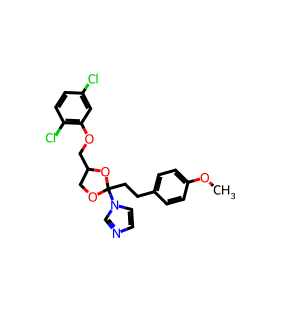 COc1ccc(CCC2(n3ccnc3)OCC(COc3cc(Cl)ccc3Cl)O2)cc1